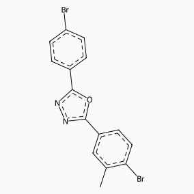 Cc1cc(-c2nnc(-c3ccc(Br)cc3)o2)ccc1Br